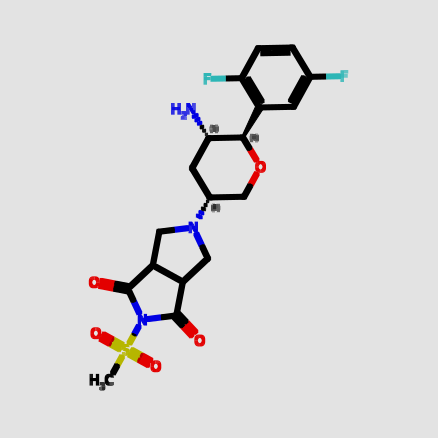 CS(=O)(=O)N1C(=O)C2CN([C@H]3CO[C@H](c4cc(F)ccc4F)[C@@H](N)C3)CC2C1=O